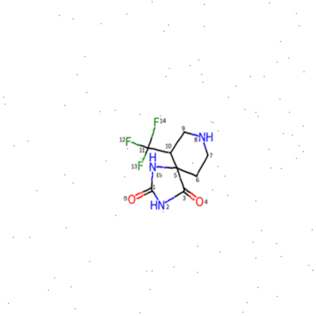 O=C1NC(=O)C2(CCNCC2C(F)(F)F)N1